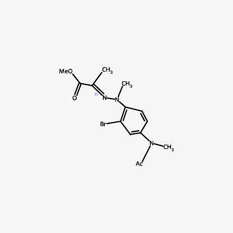 COC(=O)/C(C)=N/N(C)c1ccc(N(C)C(C)=O)cc1Br